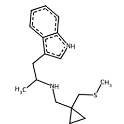 CSCC1(CNC(C)Cc2c[nH]c3ccccc23)CC1